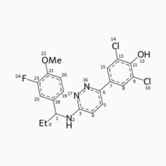 CCC(Nc1ccc(-c2cc(Cl)c(O)c(Cl)c2)nn1)c1ccc(OC)c(F)c1